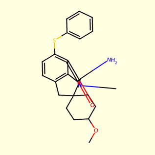 COC1CCC2(CC1)Cc1ccc(Sc3ccccc3)cc1C21N=C(N)N(C)C1=O